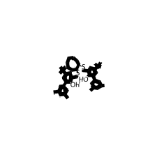 Cc1cc(C)cc(-c2cc(C(C)(C)C)cc(CS[C@H]3CCCCCC[C@@H]3SCc3cc(C(C)(C)C)cc(-c4cc(C)cc(C)c4)c3O)c2O)c1